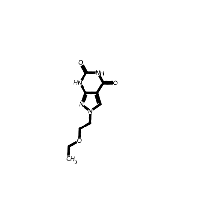 CCOCCn1cc2c(=O)[nH]c(=O)[nH]c2n1